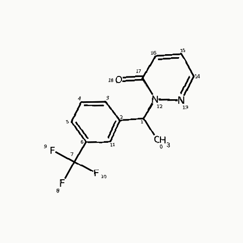 CC(c1cccc(C(F)(F)F)c1)n1ncccc1=O